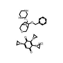 Cl.O=C1C=C(N2CC2)C(=O)C(N2CC2)=C1N1CC1.c1ccc(COC2CC3COCC2N3C[C@H]2CNCCN2)cc1